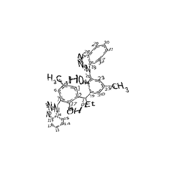 CCC(c1cc(C)cc(-n2nnc3ccccc32)c1O)c1cc(C)cc(-n2nnc3ccccc32)c1O